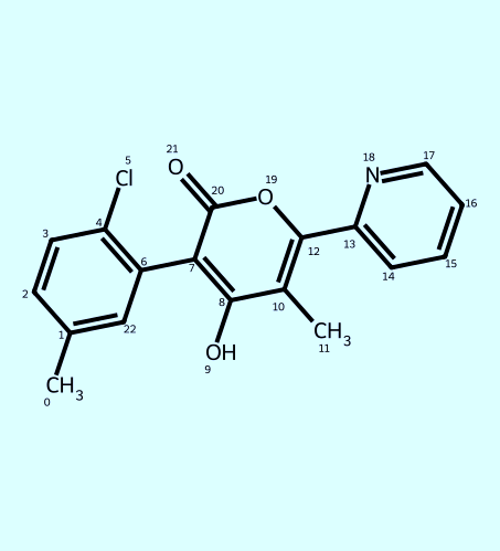 Cc1ccc(Cl)c(-c2c(O)c(C)c(-c3ccccn3)oc2=O)c1